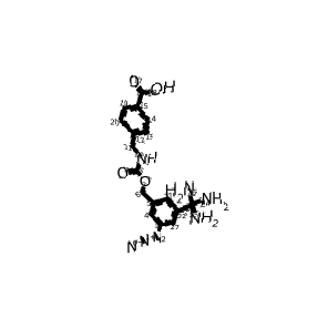 [N-]=[N+]=Nc1cc(COC(=O)NCc2ccc(C(=O)O)cc2)cc(C(N)(N)N)c1